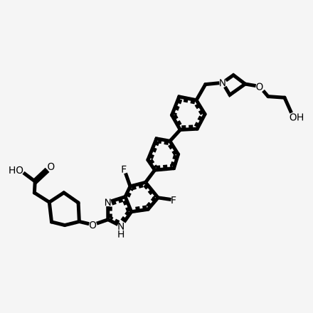 O=C(O)CC1CCC(Oc2nc3c(F)c(-c4ccc(-c5ccc(CN6CC(OCCO)C6)cc5)cc4)c(F)cc3[nH]2)CC1